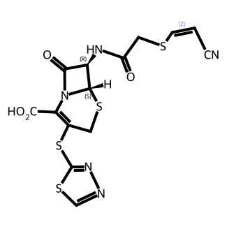 N#C/C=C\SCC(=O)N[C@@H]1C(=O)N2C(C(=O)O)=C(Sc3nncs3)CS[C@@H]12